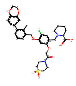 Cc1c(COc2cc(OCC(=O)N3CCS(=O)(=O)CC3)c(CN3CCCC[C@H]3C(=O)O)cc2Cl)cccc1-c1ccc2c(c1)OCCO2